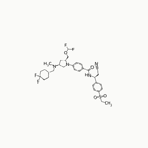 CCS(=O)(=O)c1ccc([C@H](CC#N)NC(=O)c2ccc(N3C[C@@H](N(C)CC4CCC(F)(F)CC4)C[C@H]3COC(F)F)cc2)cc1